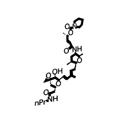 CCCNC(=O)C[C@@H]1C[C@@]2(CO2)[C@H](O)[C@@H](C=CC(C)=CC[C@@H]2O[C@H](C)[C@H](NC(=O)C=C[C@H](C)OC(=O)N3CCCCC3)C[C@@H]2C)O1